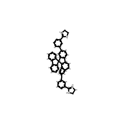 c1cc(C2=NCCO2)cc(-c2ccc3c(c2)C2(c4ccccc4-c4ccccc42)c2c-3ccc3cc(-c4cccc(C5=NCCO5)c4)ccc23)c1